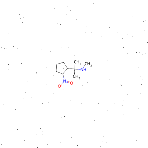 CNC(C)(C)C1CCCC1[N+](=O)[O-]